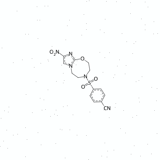 N#Cc1ccc(S(=O)(=O)N2CCOc3nc([N+](=O)[O-])cn3CC2)cc1